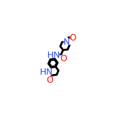 O=CN1CCC(C(=O)Nc2ccc3c(c2)CCC(=O)N3)CC1